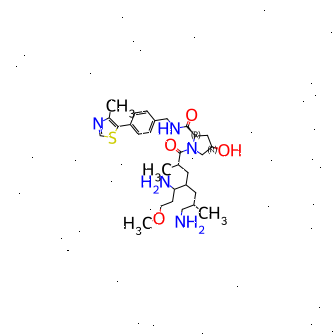 COCCC(N)C(CC(C)CN)CC(C)C(=O)N1C[C@H](O)C[C@@H]1C(=O)NCc1ccc(-c2scnc2C)cc1